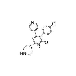 Cn1c(N2CCNCC2)nc(-c2ccncc2)c(-c2ccc(Cl)cc2)c1=O